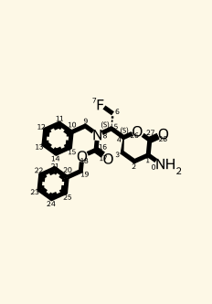 NC1CC[C@@H]([C@@H](CF)N(Cc2ccccc2)C(=O)OCc2ccccc2)OC1=O